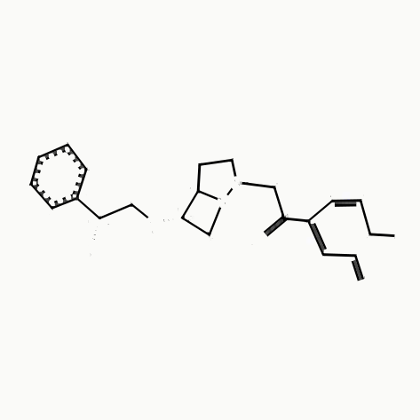 C=C/C=C(\C=C/CC)C(=O)CN1CCC2[C@@H](OC[C@H](O)c3ccccc3)CN21